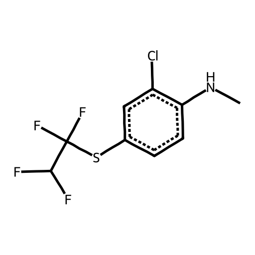 CNc1ccc(SC(F)(F)C(F)F)cc1Cl